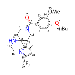 CCCCOc1ccc(C(=O)N2CCC3(CC2)NCCn2c(C(F)(F)F)ccc23)cc1OC